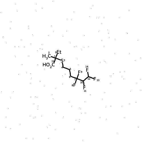 CCC(C)(SCCCC(F)(F)C(F)C(F)F)C(=O)O